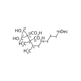 CCCCCCCCCCCCCCCC(C)C(C)(C(=O)O)C(C(=O)O)(C(=O)O)C(=O)O